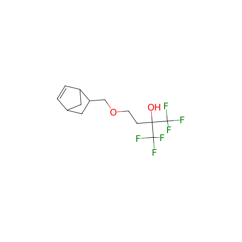 OC(CCOCC1CC2C=CC1C2)(C(F)(F)F)C(F)(F)F